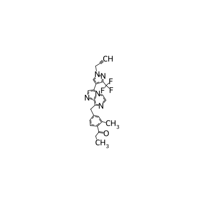 C#CCn1cc(-c2cnc3c(Cc4ccc(C(=O)CC)c(C)c4)nccn23)c(C(F)(F)F)n1